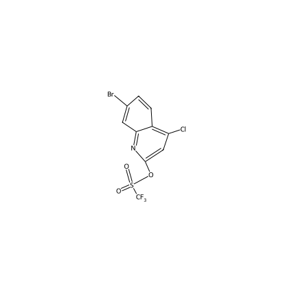 O=S(=O)(Oc1cc(Cl)c2ccc(Br)cc2n1)C(F)(F)F